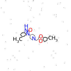 Cc1ccc2c(c1)OCC(CN1CCC(n3c(=O)[nH]c4ccc(C)cc43)CC1)O2